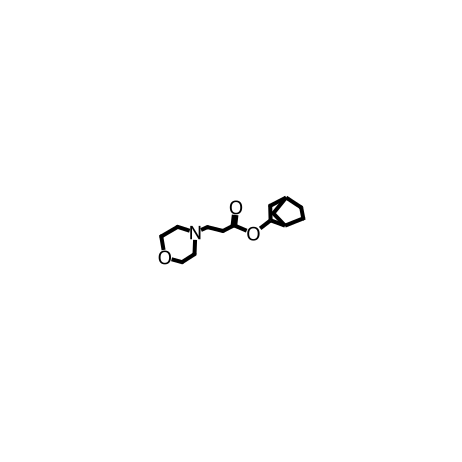 O=C(CCN1CCOCC1)OC1CC2CCC1C2